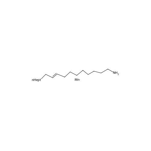 CCCCCCCCC=CCCCCCCCCN.[Mn]